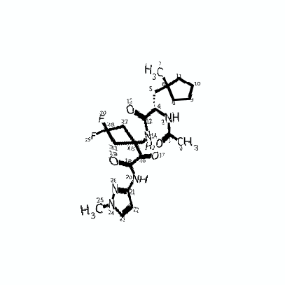 CC(=O)N[C@@H](CC1(C)CCCC1)C(=O)NC1(C(=O)C(=O)Nc2ccn(C)n2)CC(F)(F)C1